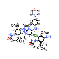 COc1cc2c(cc1N)C(C)(C)CCC(=O)N2.COc1cc2c(cc1Nc1ncc(Cl)c(Nc3ccc(N4CCOCC4)cc3OC)n1)C(C)(C)CCC(=O)N2